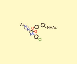 CC(=O)NCc1cccc(-c2ccc(Oc3c(N4CCN(C(C)=O)CC4)cnn(-c4ccc(Cl)cc4)c3=O)cc2)c1